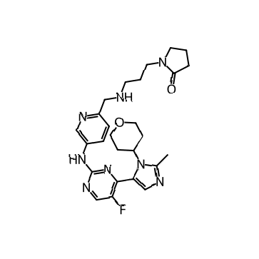 Cc1ncc(-c2nc(Nc3ccc(CNCCCN4CCCC4=O)nc3)ncc2F)n1C1CCOCC1